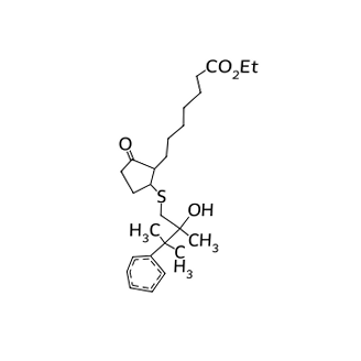 CCOC(=O)CCCCCCC1C(=O)CCC1SCC(C)(O)C(C)(C)c1ccccc1